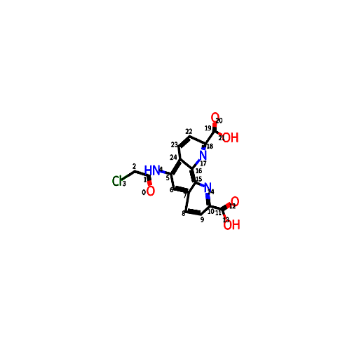 O=C(CCl)Nc1cc2ccc(C(=O)O)nc2c2nc(C(=O)O)ccc12